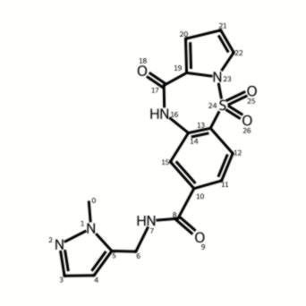 Cn1nccc1CNC(=O)c1ccc2c(c1)NC(=O)c1cccn1S2(=O)=O